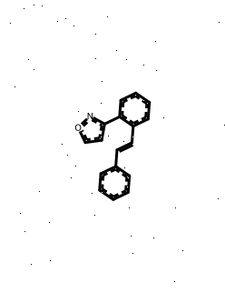 C(=Cc1ccccc1-c1ccon1)c1ccccc1